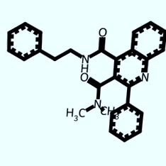 CN(C)C(=O)c1c(-c2ccccc2)nc2ccccc2c1C(=O)NCCc1ccccc1